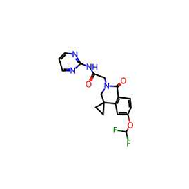 O=C(CN1CC2(CC2)c2cc(OC(F)F)ccc2C1=O)Nc1ncccn1